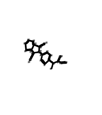 COC(=O)C(C)c1ccc(N2C(=O)c3ccccc3C2=O)cc1